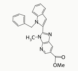 COC(=O)c1cnc2c(c1)nc(-c1cc3ccccc3n1Cc1ccccc1)n2C